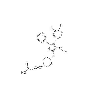 CCOc1c(-c2ccc(F)c(F)c2)c(-c2ccccc2)nn1C[C@H]1CC[C@H](COCC(=O)O)CC1